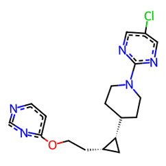 Clc1cnc(N2CCC([C@@H]3C[C@@H]3CCOc3ccncn3)CC2)nc1